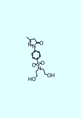 CC1=NN(c2ccc(S(=O)(=O)N(CCO)CCO)cc2)C(=O)C1